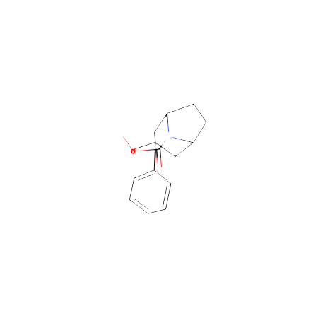 O=C(O)N1C2CCC1CC(CO)(c1ccccc1)C2